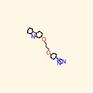 c1ccc2c(c1)[N]c1cc(OCCCCOc3ccc(-n4cncn4)cc3)ccc1-2